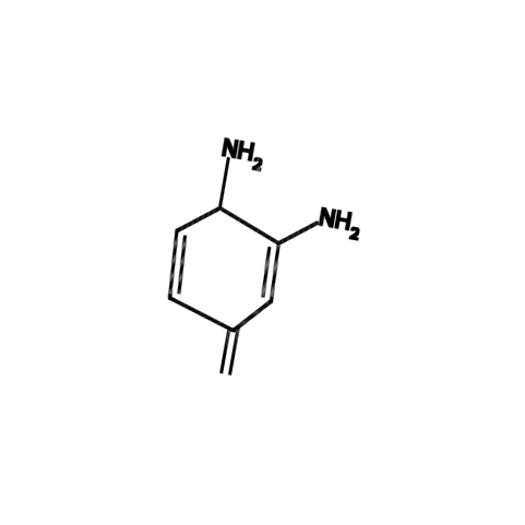 C=C1C=CC(N)C(N)=C1